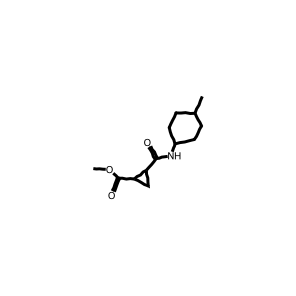 COC(=O)C1CC1C(=O)NC1CCC(C)CC1